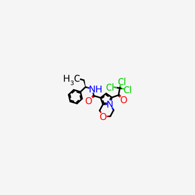 CC[C@@H](NC(=O)c1cc(C(=O)C(Cl)(Cl)Cl)n2c1COCC2)c1ccccc1